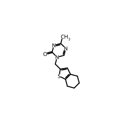 Cc1ncn(Cc2cc3c(s2)CCCC3)c(=O)n1